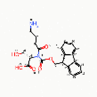 NCCCC(=O)N(C(=O)OCC1c2ccccc2-c2ccccc21)[C@@H](CO)C(=O)O